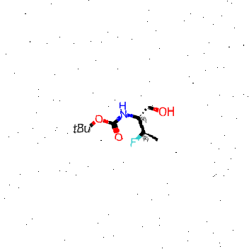 C[C@@H](F)[C@@H](CO)NC(=O)OC(C)(C)C